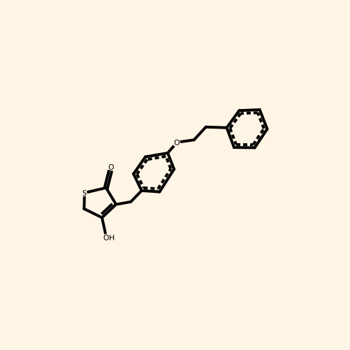 O=C1SCC(O)=C1Cc1ccc(OCCc2ccccc2)cc1